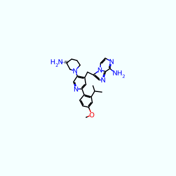 COc1ccc(-c2cc(Cc3cnc4c(N)nccn34)c(N3CCC[C@@H](N)C3)cn2)c(C(C)C)c1